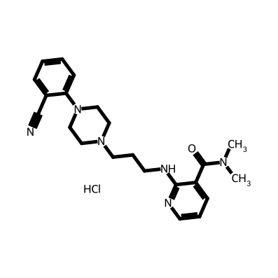 CN(C)C(=O)c1cccnc1NCCCN1CCN(c2ccccc2C#N)CC1.Cl